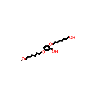 COCCCCCCCCOc1ccc(OCCCCCCCCO)c(CO)c1